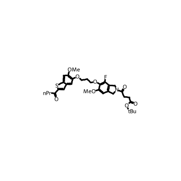 CCCC(=O)c1cc2cc(OCCCOc3c(OC)cc4c(c3F)CN(C(=O)CCC(=O)OC(C)(C)C)C4)c(OC)cc2s1